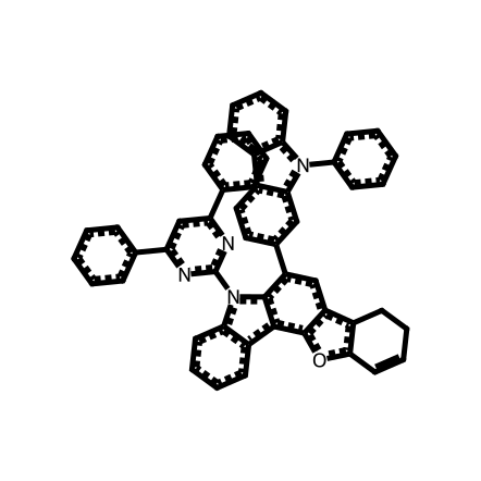 C1=Cc2oc3c(cc(-c4ccc5c6ccccc6n(-c6ccccc6)c5c4)c4c3c3ccccc3n4-c3nc(-c4ccccc4)cc(-c4ccccc4)n3)c2CC1